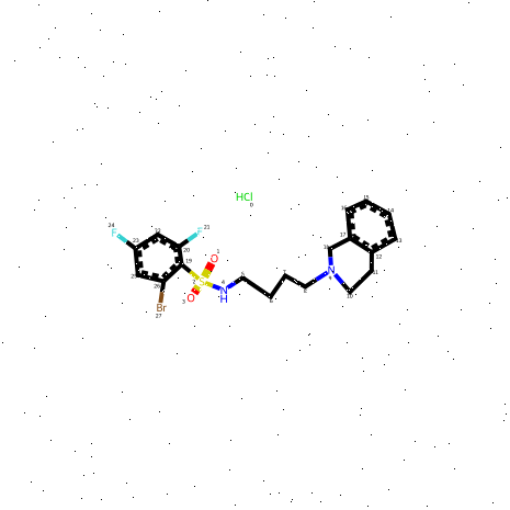 Cl.O=S(=O)(NCCCCN1CCc2ccccc2C1)c1c(F)cc(F)cc1Br